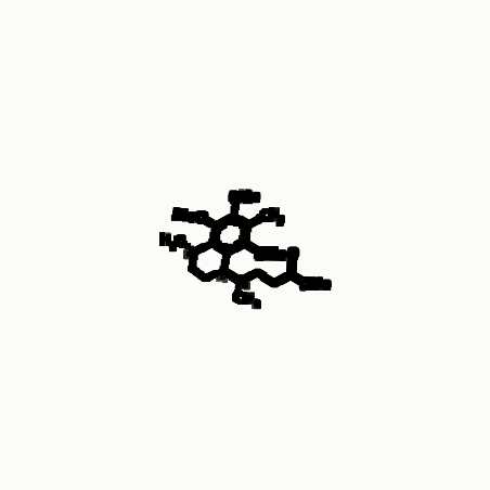 COC(=O)CC[C@H](C)[C@H]1CC[C@H](C)c2c(OC)c(OC)c(C)c(OC)c21